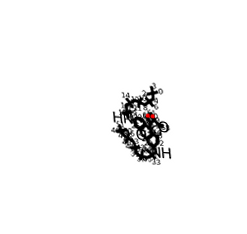 CC(C)(C)CC(C)(C)CC(C)(C)CC(C)(C)CC(C)(C)Nc1ccc2c(c1)Oc1cc(NC(C)(C)CC(C)(C)CC(C)(C)CC(C)(C)CC(C)(C)C)ccc1C21OC(=O)c2ccccc21